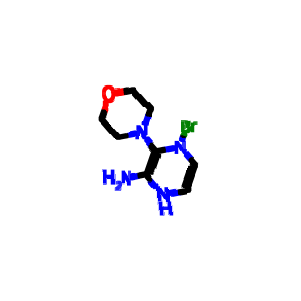 NC1=C(N2CCOCC2)N(Br)C=CN1